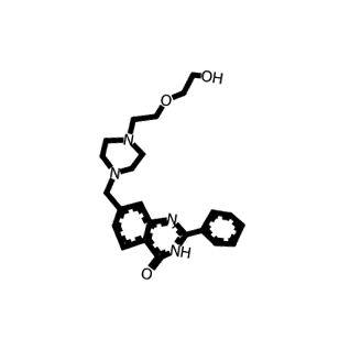 O=c1[nH]c(-c2ccccc2)nc2cc(CN3CCN(CCOCCO)CC3)ccc12